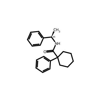 C[C@@H](NC(=O)C1(c2ccccc2)CCCCC1)c1ccccc1